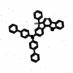 CC1(c2ccccc2)c2cc(N(c3ccc(-c4ccccc4)cc3)c3ccc(-c4ccccc4)cc3)ccc2-c2c1ccc1c2oc2ccccc21